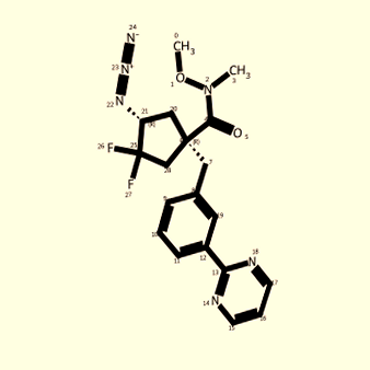 CON(C)C(=O)[C@]1(Cc2cccc(-c3ncccn3)c2)C[C@@H](N=[N+]=[N-])C(F)(F)C1